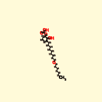 CCCCCCCOCCCCCCCCCc1cccc(OC(=O)O)c1O